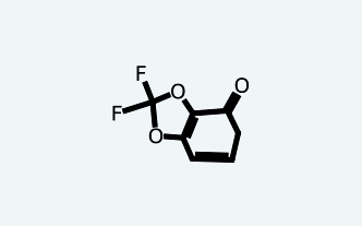 O=C1CC=CC2=C1OC(F)(F)O2